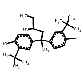 CCC(O)CC(C)(c1ccc(O)c(C(C)(C)C)c1)c1ccc(O)c(C(C)(C)C)c1